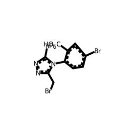 CCCc1nnc(CBr)n1-c1ccc(Br)cc1C(=O)O